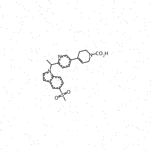 CC(c1ccc(C2=CCN(C(=O)O)CC2)cn1)n1ccc2cc(S(C)(=O)=O)ccc21